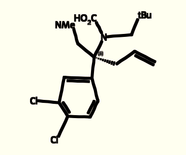 C=CC[C@@](CNC)(c1ccc(Cl)c(Cl)c1)N(CC(C)(C)C)C(=O)O